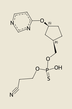 N#CCCOP(O)(=S)OC[C@@H]1CC[C@H](Oc2ccncn2)C1